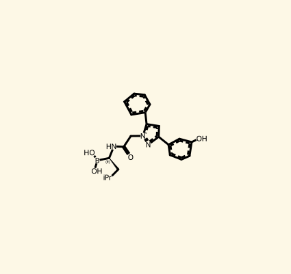 CC(C)C[C@H](NC(=O)Cn1nc(-c2cccc(O)c2)cc1-c1ccccc1)B(O)O